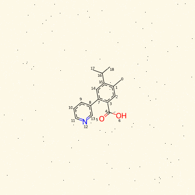 Cc1cc(C(=O)O)c(-c2cccnc2)cc1C(C)C